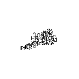 C=CC(=O)Nc1cc(Nc2cc(N3OCC[C@@H]3c3cccc(Cl)c3C)ncn2)c(OC)cc1N1CCC(N2CCN(C(C)C)CC2)CC1